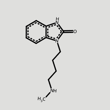 CNCCCCn1c(=O)[nH]c2ccccc21